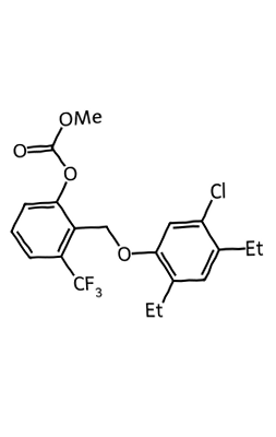 CCc1cc(CC)c(OCc2c(OC(=O)OC)cccc2C(F)(F)F)cc1Cl